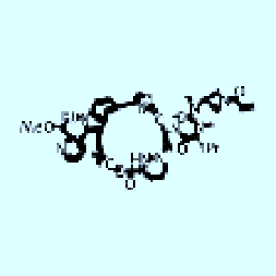 C=CC(=O)N1CC(N(C)C(=O)N(C)[C@H](C(=O)N[C@H]2Cc3nc(cs3)-c3ccc4c(c3)c(c(-c3cccnc3[C@H](C)OC)n4CC)CC(C)(C)COC(=O)[C@@H]3CCCN(N3)C2=O)C(C)C)C1